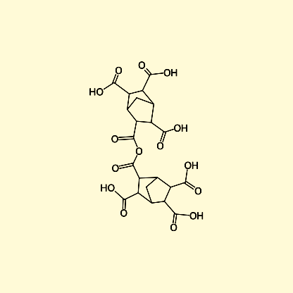 O=C(O)C1C2CC(C1C(=O)O)C(C(=O)OC(=O)C1C3CC(C(C(=O)O)C3C(=O)O)C1C(=O)O)C2C(=O)O